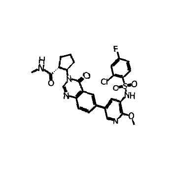 CNC(=O)[C@@H]1CCCC1n1cnc2ccc(-c3cnc(OC)c(NS(=O)(=O)c4ccc(F)cc4Cl)c3)cc2c1=O